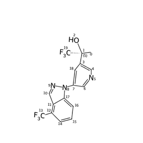 C[C@](O)(c1cncc(-n2ncc3c(C(F)(F)F)cccc32)c1)C(F)(F)F